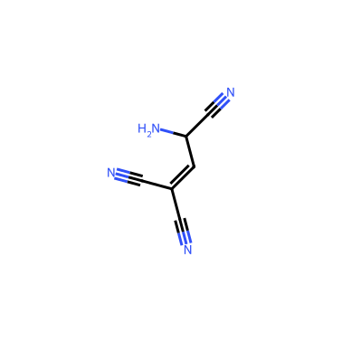 N#CC(C#N)=CC(N)C#N